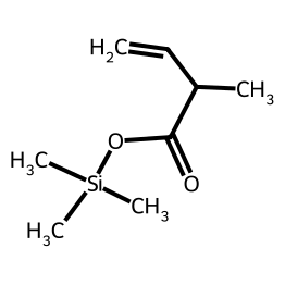 C=CC(C)C(=O)O[Si](C)(C)C